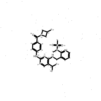 CN(c1ncccc1CNc1nc(Nc2ccc(C(=O)N3CC(F)C3)cc2)ncc1C(F)F)S(C)(=O)=O